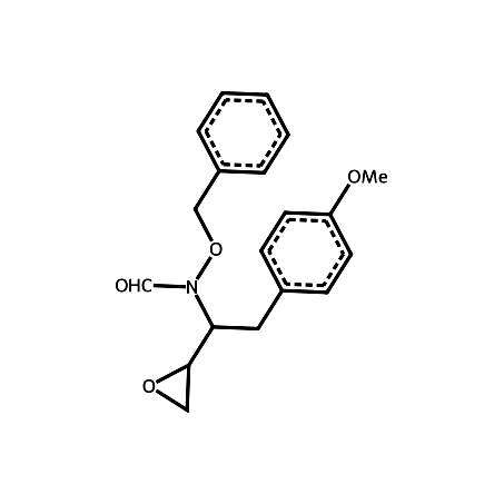 COc1ccc(CC(C2CO2)N(C=O)OCc2ccccc2)cc1